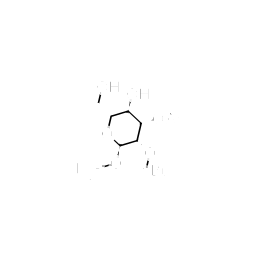 CCCCO[C@@H]1[C@@H](OP)O[C@H](CO)[C@@H](O)[C@@H]1OC(C)=O